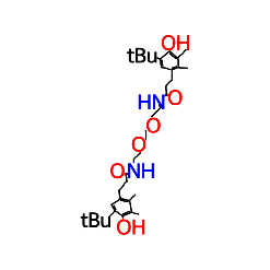 Cc1c(CCC(=O)NCCOCCOCCNC(=O)CCc2cc(C(C)(C)C)c(O)c(C)c2C)cc(C(C)(C)C)c(O)c1C